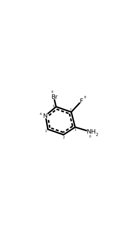 Nc1ccnc(Br)c1F